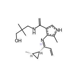 C=C/C(=N\c1c(C(=C)NCC(C)(C)CO)c[nH]c1C)[C@@H]1C[C@@H]1C